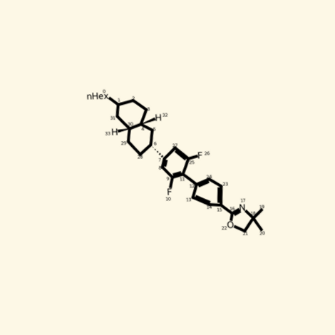 CCCCCCC1CC[C@@H]2C[C@H](c3cc(F)c(-c4ccc(C5=NC(C)(C)CO5)cc4)c(F)c3)CC[C@@H]2C1